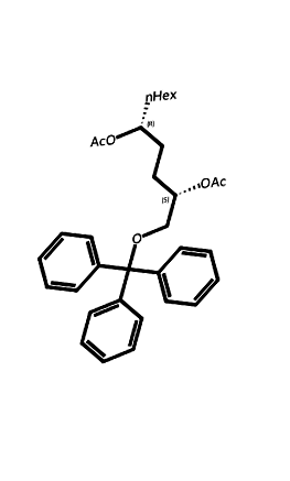 CCCCCC[C@H](CC[C@@H](COC(c1ccccc1)(c1ccccc1)c1ccccc1)OC(C)=O)OC(C)=O